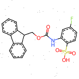 O=C(Nc1cc(F)ccc1S(=O)(=O)O)OCC1c2ccccc2-c2ccccc21